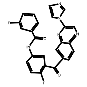 O=C(Nc1ccc(F)c(C(=O)c2ccc3ncc(-n4ccnc4)nc3c2)c1)c1cccc(F)c1